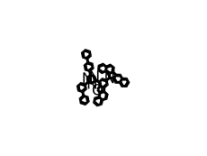 c1ccc(-c2ccc(-c3nc(-c4cccc(-c5ccccc5)c4)nc(-c4cc(-n5c6cc7ccccc7cc6c6ccc7ccccc7c65)cc5c4oc4c6ccccc6ccc54)n3)cc2)cc1